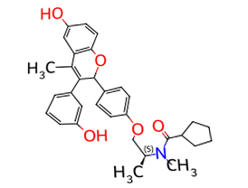 CC1=C(c2cccc(O)c2)C(c2ccc(OC[C@H](C)N(C)C(=O)C3CCCC3)cc2)Oc2ccc(O)cc21